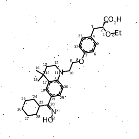 CCO[C@@H](Cc1ccc(OCCN2CCC(C)(C)c3cc(C(=NO)C4CCCCC4)ccc32)cc1)C(=O)O